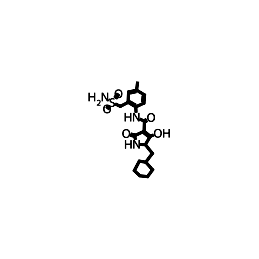 Cc1ccc(NC(=O)C2=C(O)C(CC3CCCCC3)NC2=O)c(CS(N)(=O)=O)c1